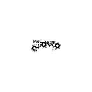 COc1cc(C=CC(=O)Nc2ccccc2C(=O)O)ccc1OCc1ccccn1